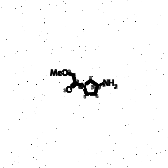 COCC(=O)N1CC[C@H](N)C1